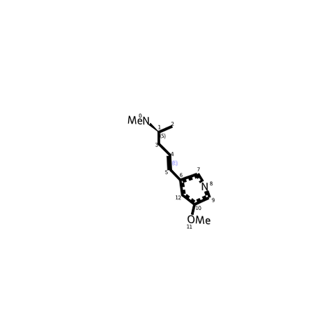 CN[C@@H](C)C/C=C/c1cncc(OC)c1